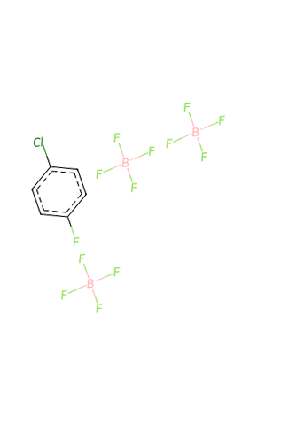 F[B-](F)(F)F.F[B-](F)(F)F.F[B-](F)(F)F.Fc1ccc(Cl)cc1